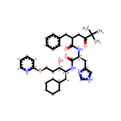 CC(C)(C)C(=O)CC(Cc1ccccc1)C(=O)N[C@@H](Cc1c[nH]cn1)C(=O)N[C@@H](CC1CCCCC1)[C@@H](O)CCSc1ccccn1